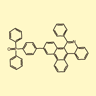 O=P(c1ccccc1)(c1ccccc1)c1ccc(-c2ccc3c(c2)c2ccccc2c2c4ccccc4nc(-c4ccccc4)c32)cc1